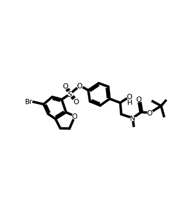 CN(CC(O)c1ccc(OS(=O)(=O)c2cc(Br)cc3c2OCC3)cc1)C(=O)OC(C)(C)C